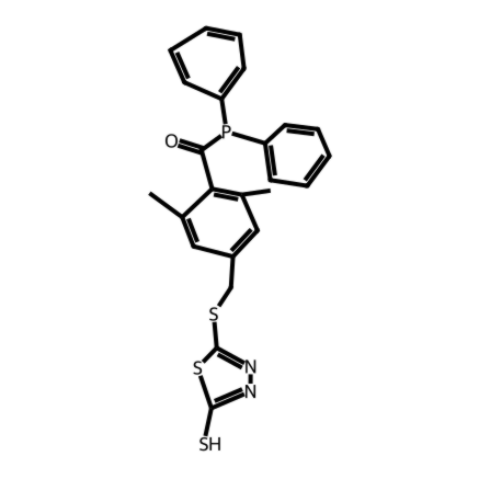 Cc1cc(CSc2nnc(S)s2)cc(C)c1C(=O)P(c1ccccc1)c1ccccc1